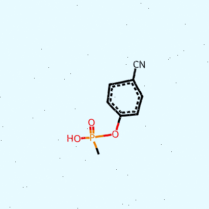 CP(=O)(O)Oc1ccc(C#N)cc1